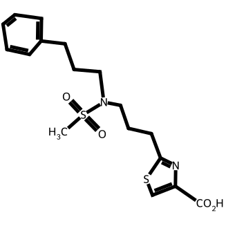 CS(=O)(=O)N(CCCc1ccccc1)CCCc1nc(C(=O)O)cs1